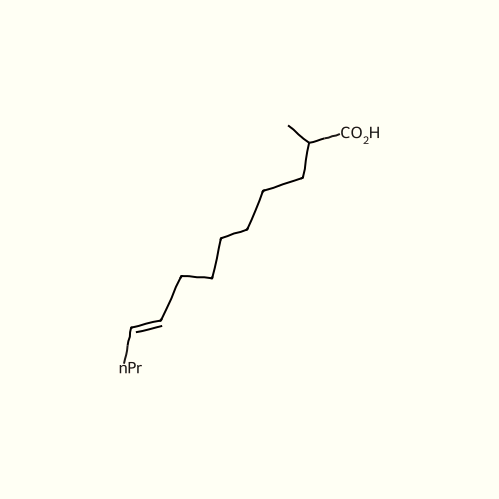 CCCC=CCCCCCCC(C)C(=O)O